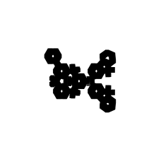 CC1(C)C2=C(CCC=C2)c2ccc(N(c3ccc4c(c3)C(C)(C)c3ccccc3-4)c3cc4c5c(c3)C(C)(C)c3cc(-c6ccccc6)cc6c3N5c3c(cccc3C4(C)C)C6(C)C)cc21